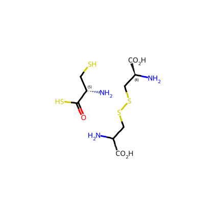 NC(CSSC[C@H](N)C(=O)O)C(=O)O.N[C@@H](CS)C(=O)S